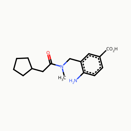 CN(Cc1cc(C(=O)O)ccc1N)C(=O)CC1CCCC1